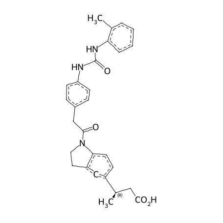 Cc1ccccc1NC(=O)Nc1ccc(CC(=O)N2CCc3cc([C@H](C)CC(=O)O)ccc32)cc1